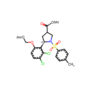 COCOc1ccc(Cl)c(Cl)c1[C@H]1CC(C(=O)OC)CN1S(=O)(=O)c1ccc(C)cc1